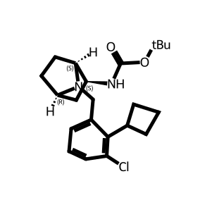 CC(C)(C)OC(=O)N[C@H]1C[C@H]2CC[C@@H]1N2Cc1cccc(Cl)c1C1CCC1